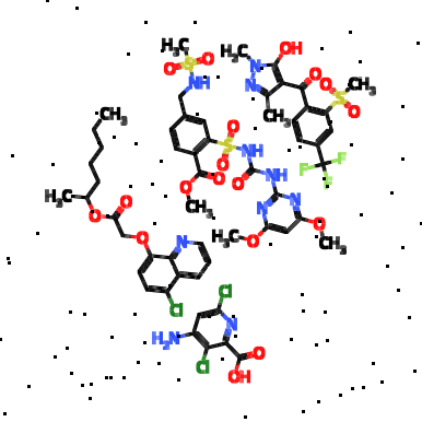 CCCCCC(C)OC(=O)COc1ccc(Cl)c2cccnc12.COC(=O)c1ccc(CNS(C)(=O)=O)cc1S(=O)(=O)NC(=O)Nc1nc(OC)cc(OC)n1.Cc1nn(C)c(O)c1C(=O)c1ccc(C(F)(F)F)cc1S(C)(=O)=O.Nc1cc(Cl)nc(C(=O)O)c1Cl